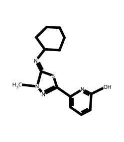 Cn1nc(-c2cccc(O)n2)sc1=NC1CCCCC1